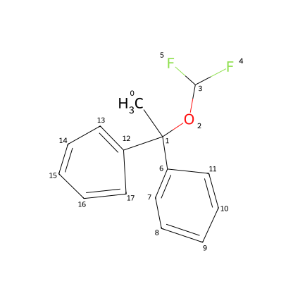 CC(OC(F)F)(c1ccccc1)c1ccccc1